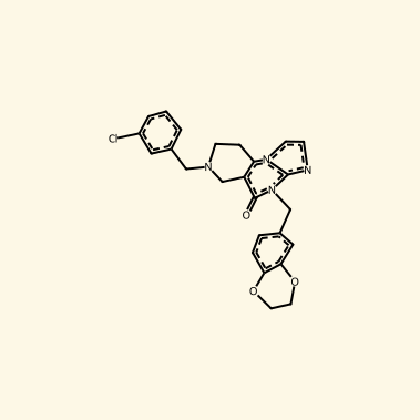 O=c1c2c(n3ccnc3n1Cc1ccc3c(c1)OCCO3)CCN(Cc1cccc(Cl)c1)C2